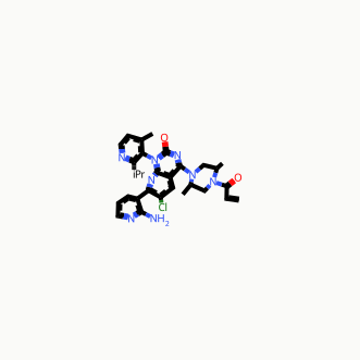 C=CC(=O)N1CC(C)N(c2nc(=O)n(-c3c(C)ccnc3C(C)C)c3nc(-c4cccnc4N)c(Cl)cc23)CC1C